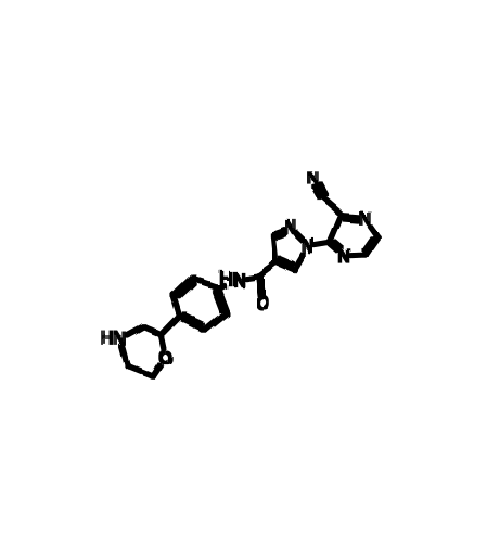 N#Cc1nccnc1-n1cc(C(=O)Nc2ccc(C3CNCCO3)cc2)cn1